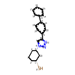 S[C@@H]1CCC[C@H](n2cc(-c3ccc(-c4ccccc4)cc3)nn2)C1